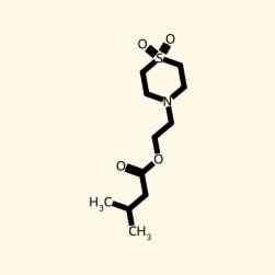 CC(C)CC(=O)OCCN1CCS(=O)(=O)CC1